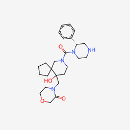 O=C1COCCN1CC1(O)CCN(C(=O)N2CCNC[C@H]2c2ccccc2)CC12CCCC2